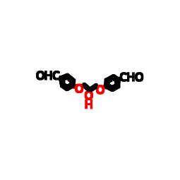 O=Cc1ccc(OCC(O)COc2ccc(C=O)cc2)cc1